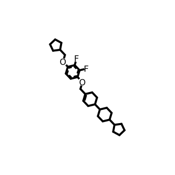 Fc1c(OCC2=CCC(C3CCC(C4CCCC4)CC3)CC2)ccc(OCC2CCCC2)c1F